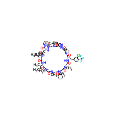 CC[C@H](C)[C@@H]1NC(=O)[C@H](CC(C)C)N(C)C(=O)C[C@@H](C(=O)N2CCCCC2)NC(=O)[C@H](C(C)C)N(C)C(=O)C2(CCCC2)NC(=O)[C@@H]2CCCN2C(=O)[C@H](CCc2ccc(C(F)(F)F)c(Cl)c2)NC(=O)CN(C)C(=O)[C@H](CC2CCCCC2)N(C)C(=O)CN(C)C(=O)CN(C)C1=O